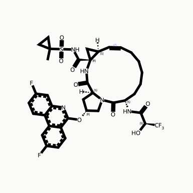 CC1(S(=O)(=O)NC(=O)[C@@]23C[C@H]2/C=C\CCCCC[C@H](NC(=O)[C@H](O)C(F)(F)F)C(=O)N2C[C@H](Oc4nc5cc(F)ccc5c5cc(F)ccc45)C[C@H]2C(=O)N3)CC1